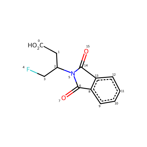 O=C(O)CC(CF)N1C(=O)c2ccccc2C1=O